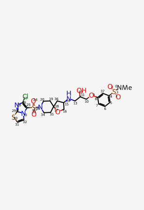 CNS(=O)(=O)c1cccc(OCC(O)CNC2COC3(CCN(S(=O)(=O)c4c(Cl)nc5sccn45)CC3)C2)c1